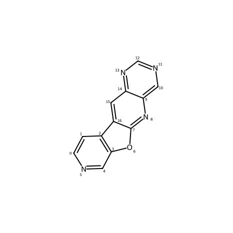 c1cc2c(cn1)oc1nc3cncnc3cc12